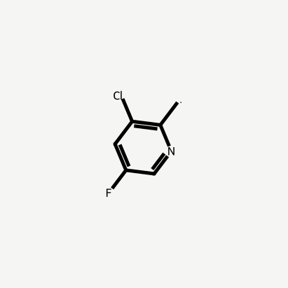 [CH2]c1ncc(F)cc1Cl